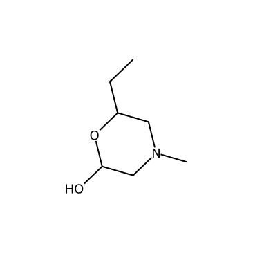 CCC1CN(C)CC(O)O1